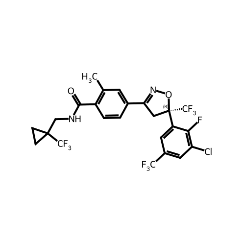 Cc1cc(C2=NO[C@](c3cc(C(F)(F)F)cc(Cl)c3F)(C(F)(F)F)C2)ccc1C(=O)NCC1(C(F)(F)F)CC1